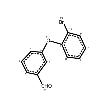 O=Cc1cccc(Oc2ccccc2Br)c1